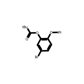 CC(C)Oc1ccc(Br)cc1OC(=O)C(C)(C)C